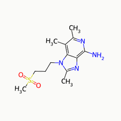 Cc1nc(N)c2nc(C)n(CCCS(C)(=O)=O)c2c1C